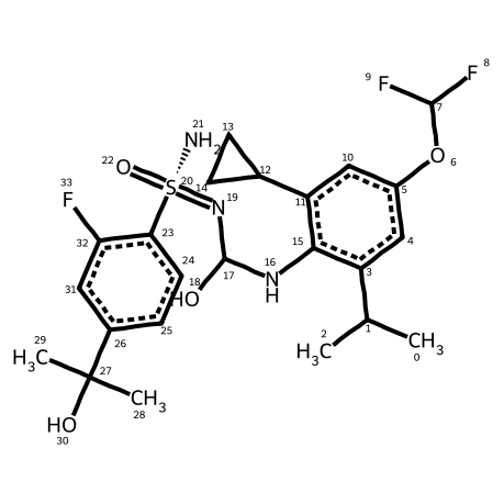 CC(C)c1cc(OC(F)F)cc(C2CC2)c1NC(O)N=[S@](N)(=O)c1ccc(C(C)(C)O)cc1F